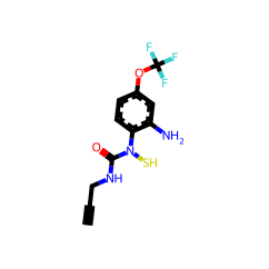 C#CCNC(=O)N(S)c1ccc(OC(F)(F)F)cc1N